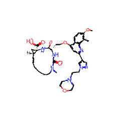 COc1ccc2c(OCC[C@@H]3NC(=O)N(C)CCCC/C=C\[C@@H]4C[C@@]4(C(=O)O)NC3=O)cc(-c3cnn(CCN4CCOCC4)c3)nc2c1C